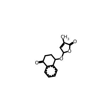 CC1=CC(OC2CCC(=O)c3ccccc32)OC1=O